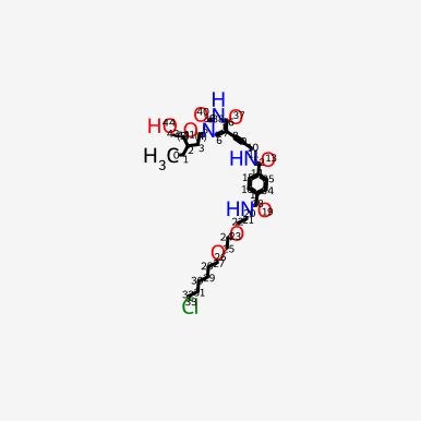 CCC1C[C@H](n2cc(C#CCNC(=O)c3ccc(C(=O)NCCOCCOCCCCCCCl)cc3)c(=O)[nH]c2=O)O[C@@H]1CO